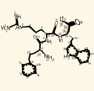 N=C(N)NCCC[C@H](NC(=O)[C@@H](N)Cc1ccccc1)C(=O)N[C@@H](Cc1c[nH]c2ccccc12)C(N)=O